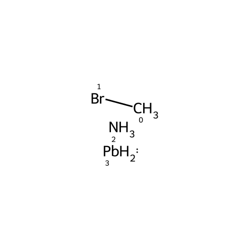 CBr.N.[PbH2]